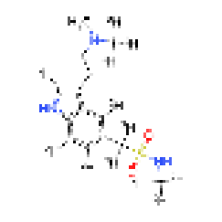 [2H]c1[nH]c2c([2H])c([2H])c(C([2H])([2H])S(=O)(=O)NC([2H])([2H])[2H])c([2H])c2c1CCN(C)C([2H])([2H])[2H]